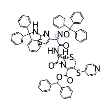 O=C(OC(c1ccccc1)c1ccccc1)C1=C(Sc2ccncc2)CS[C@H]2[C@H](NC(=O)/C(=N\OC(c3ccccc3)(c3ccccc3)c3ccccc3)c3csc(NC(c4ccccc4)(c4ccccc4)c4ccccc4)n3)C(=O)N12